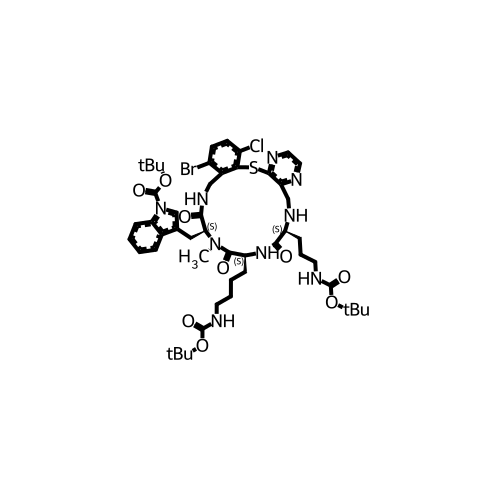 CN1C(=O)[C@H](CCCCNC(=O)OC(C)(C)C)NC(=O)[C@H](CCCNC(=O)OC(C)(C)C)NCc2nccnc2Sc2c(Cl)ccc(Br)c2CNC(=O)[C@@H]1Cc1cn(C(=O)OC(C)(C)C)c2ccccc12